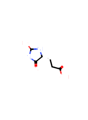 O=C(O)CC[C@H]1NC(O)NC1=O